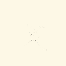 CC(C)(C)N1CC(C)(C(F)(F)F)NC1=O